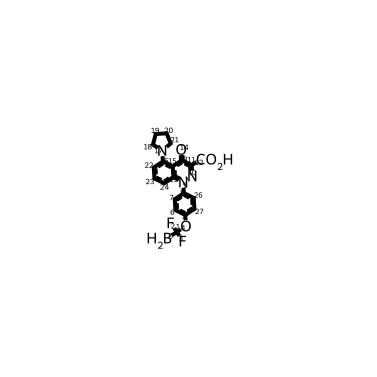 BC(F)(F)Oc1ccc(-n2nc(C(=O)O)c(=O)c3c(N4CCCC4)cccc32)cc1